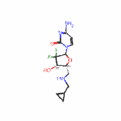 Nc1ccn(C2O[C@H](CNCC3CC3)[C@@H](O)C2(F)F)c(=O)n1